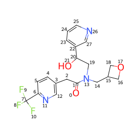 O=C(Cc1ccc(C(F)(F)F)nc1)N(CC1COC1)CC(O)c1cccnc1